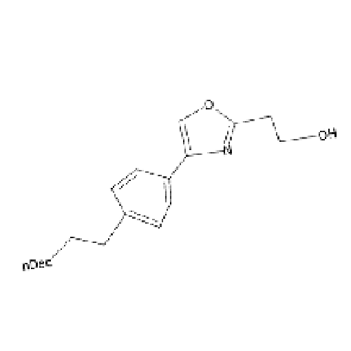 CCCCCCCCCCCCc1ccc(-c2coc(CCO)n2)cc1